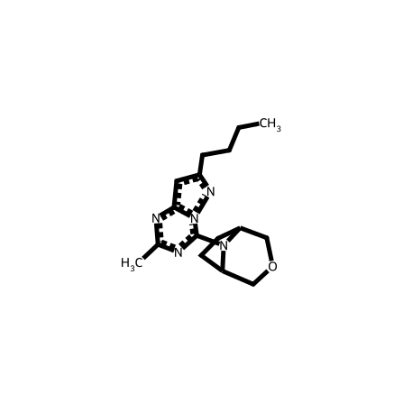 CCCCc1cc2nc(C)nc(N3C4CCC3COC4)n2n1